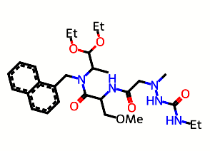 CCNC(=O)NN(C)CC(=O)NC(COC)C(=O)N(Cc1cccc2ccccc12)C(C)C(OCC)OCC